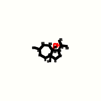 CC1CC[C@@]2(C)CC[C@H](C(C)C)[C@@]2(O)CC1